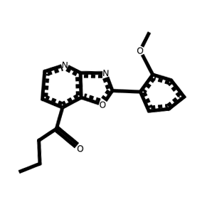 CCCC(=O)c1ccnc2nc(-c3ccccc3OC)oc12